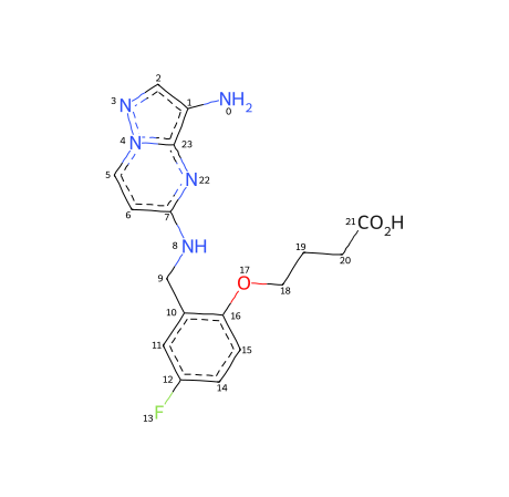 Nc1cnn2ccc(NCc3cc(F)ccc3OCCCC(=O)O)nc12